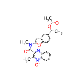 CC(=O)OC(C)c1ccc2oc(N(C)C(=O)c3nc4ccccc4[n+]([O-])c3C)cc2c1